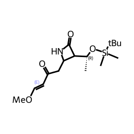 CO/C=C/C(=O)CC1NC(=O)C1[C@@H](C)O[Si](C)(C)C(C)(C)C